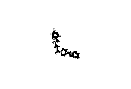 O=C(NC1CN(C(=O)N2CCN(c3nc4nc(Cl)ccc4o3)CC2)C1)c1ccc(F)cc1Cl